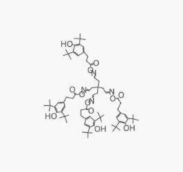 CC(C)(C)c1cc(CCC(=O)ON=CCC(CC=NOC(=O)CCc2cc(C(C)(C)C)c(O)c(C(C)(C)C)c2)(CC=NOC(=O)CCc2cc(C(C)(C)C)c(O)c(C(C)(C)C)c2)CC=NOC(=O)CCc2cc(C(C)(C)C)c(O)c(C(C)(C)C)c2)cc(C(C)(C)C)c1O